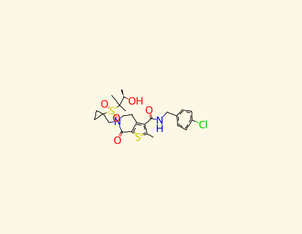 Cc1sc2c(c1C(=O)NCc1ccc(Cl)cc1)CCN(CC1(S(=O)(=O)C(C)(C)[C@@H](C)O)CC1)C2=O